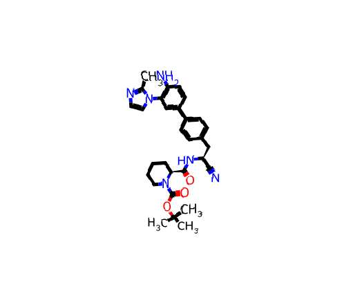 Cc1nccn1-c1cc(-c2ccc(C[C@@H](C#N)NC(=O)[C@@H]3CCCCN3C(=O)OC(C)(C)C)cc2)ccc1N